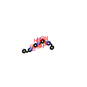 O=C(Nc1ccc(S(=O)(=O)N2CCC(Cc3ccccc3)CC2)cc1O)c1cc(S(=O)(=O)N2CCC(Cc3ccccc3)CC2)cc(O)c1O